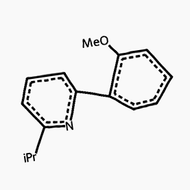 COc1ccccc1-c1cccc(C(C)C)n1